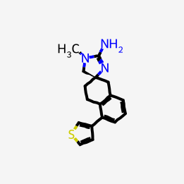 CN1C[C@@]2(CCc3c(cccc3-c3ccsc3)C2)N=C1N